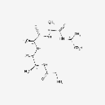 C[C@H](NC(=O)CN)C(=O)N[C@@H](C)C(=O)N[C@H](C)C(=O)N[C@H](C)C(=O)O